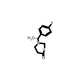 C[C@H](c1ccc(F)cc1)N1CCC(=O)CC1